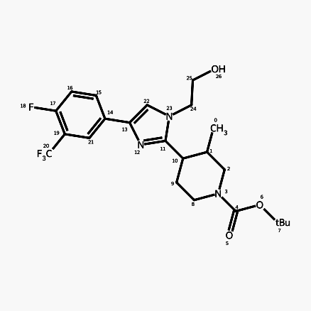 CC1CN(C(=O)OC(C)(C)C)CCC1c1nc(-c2ccc(F)c(C(F)(F)F)c2)cn1CCO